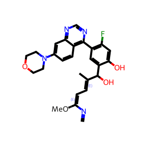 C=N/C(=C\C=C(/C)C(O)c1cc(-c2ncnc3cc(N4CCOCC4)ccc23)c(F)cc1O)OC